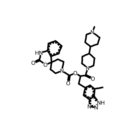 Cc1cc(CC(OC(=O)N2CCC3(CC2)OC(=O)Nc2ccccc23)C(=O)N2CCC(C3CCN(C)CC3)CC2)cc2nn[nH]c12